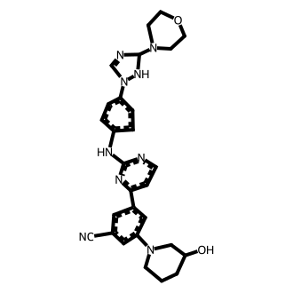 N#Cc1cc(-c2ccnc(Nc3ccc(N4C=NC(N5CCOCC5)N4)cc3)n2)cc(N2CCCC(O)C2)c1